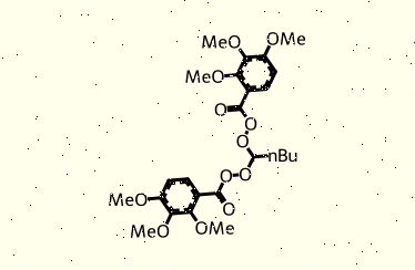 [CH2]CCC[C](OOC(=O)c1ccc(OC)c(OC)c1OC)OOC(=O)c1ccc(OC)c(OC)c1OC